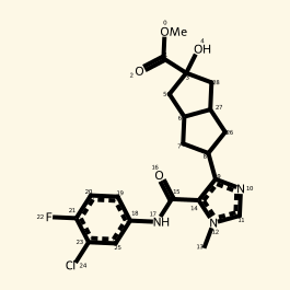 COC(=O)C1(O)CC2CC(c3ncn(C)c3C(=O)Nc3ccc(F)c(Cl)c3)CC2C1